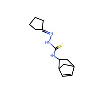 S=C(NN=C1CCCC1)NC1CC2C=CC1C2